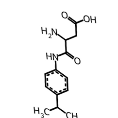 CC(C)c1ccc(NC(=O)C(N)CC(=O)O)cc1